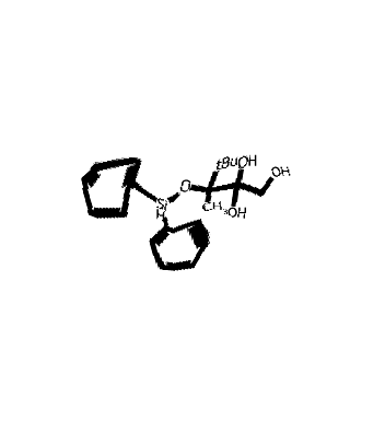 CC(C)(C)C(C)(O[SiH](c1ccccc1)c1ccccc1)C(O)(O)CO